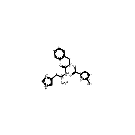 O=C(C[C@@H](Cc1ccccc1)C(=O)N[C@@H](Cc1c[nH]cn1)C(=O)O)c1ccc(Cl)o1